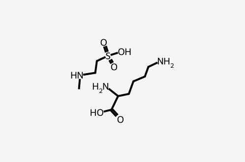 CNCCS(=O)(=O)O.NCCCCC(N)C(=O)O